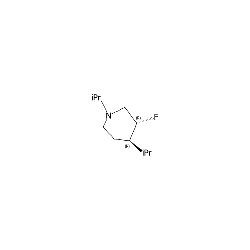 CC(C)[C@H]1CCN(C(C)C)C[C@@H]1F